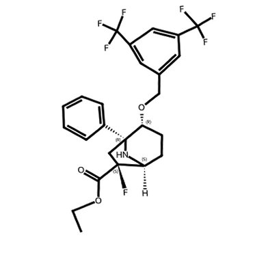 CCOC(=O)[C@]1(F)C[C@]2(c3ccccc3)N[C@H]1CC[C@H]2OCc1cc(C(F)(F)F)cc(C(F)(F)F)c1